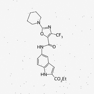 CCOC(=O)c1cc2cc(NC(=O)c3oc(N4CCCCC4)nc3C(F)(F)F)ccc2[nH]1